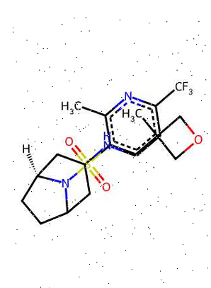 Cc1nc(C(F)(F)F)ccc1S(=O)(=O)N1C2CC[C@H]1CC(NCC1(C)COC1)C2